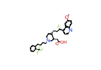 COc1ccc2nccc([C@@H](F)CC[C@@H]3CCN(CCCCc4ccccc4C(F)(F)F)C[C@@H]3CC(=O)O)c2c1